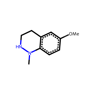 COc1ccc2c(c1)CCNN2C